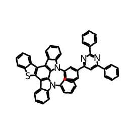 c1ccc(-c2cc(-c3cccc(-n4c5ccccc5c5c6c7ccccc7sc6c6c7ccccc7n(-c7ccccc7)c6c54)c3)nc(-c3ccccc3)n2)cc1